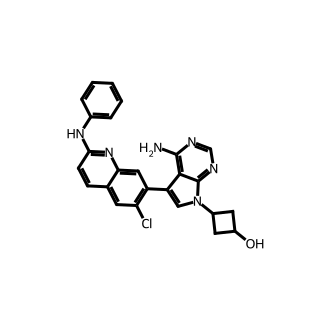 Nc1ncnc2c1c(-c1cc3nc(Nc4ccccc4)ccc3cc1Cl)cn2C1CC(O)C1